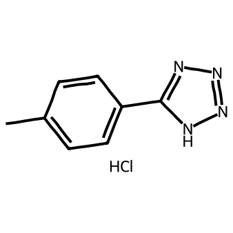 Cc1ccc(-c2nnn[nH]2)cc1.Cl